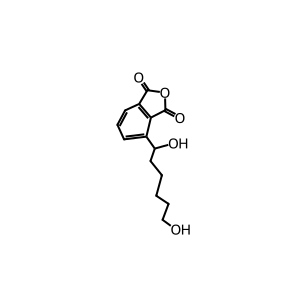 O=C1OC(=O)c2c1cccc2C(O)CCCCCO